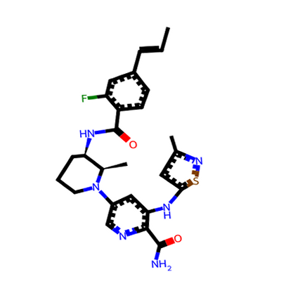 C/C=C/c1ccc(C(=O)N[C@@H]2CCCN(c3cnc(C(N)=O)c(Nc4cc(C)ns4)c3)[C@@H]2C)c(F)c1